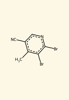 Cc1c(C#N)cnc(Br)c1Br